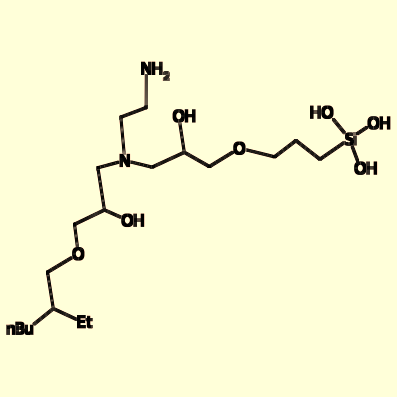 CCCCC(CC)COCC(O)CN(CCN)CC(O)COCCC[Si](O)(O)O